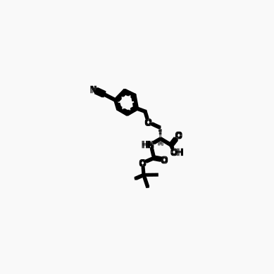 CC(C)(C)OC(=O)N[C@H](COCc1ccc(C#N)cc1)C(=O)O